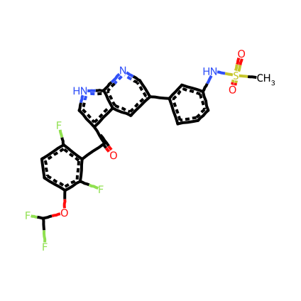 CS(=O)(=O)Nc1cccc(-c2cnc3[nH]cc(C(=O)c4c(F)ccc(OC(F)F)c4F)c3c2)c1